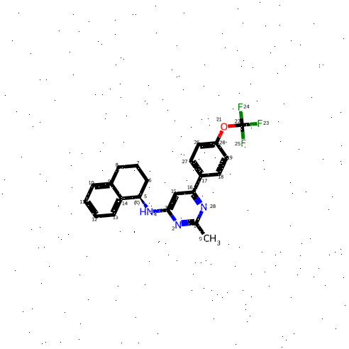 Cc1nc(N[C@@H]2CCCc3ccccc32)cc(-c2ccc(OC(F)(F)F)cc2)n1